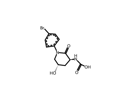 O=C(O)N[C@H]1C[C@H](O)CN(c2ccc(Br)cc2)C1=O